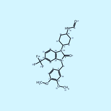 COc1ccc(Cn2c(=O)n(C3CCC(NC=O)CC3)c3ccc(C(F)(F)F)cc32)cc1OC